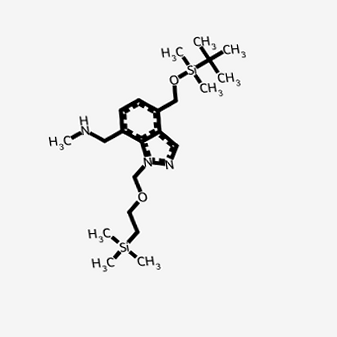 CNCc1ccc(CO[Si](C)(C)C(C)(C)C)c2cnn(COCC[Si](C)(C)C)c12